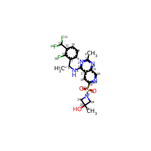 Cc1nc(N[C@H](C)c2cccc(C(F)F)c2F)c2cc(S(=O)(=O)N3CC(C)(O)C3)ncc2n1